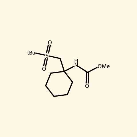 COC(=O)NC1(CS(=O)(=O)C(C)(C)C)CCCCC1